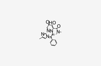 Cc1cn([C@@H](c2ccccc2)[C@H]2CN(C)C(=O)c3c(O)c(=O)cnn32)cn1